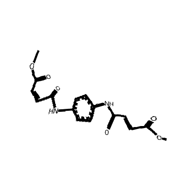 COC(=O)/C=C\C(=O)Nc1ccc(NC(=O)/C=C/C(=O)OC)cc1